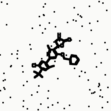 Cc1cc(C(C)(C)C)c(Cl)cc1-c1cc(OCc2ccccc2)c(C2CNC(=O)O2)c(C)n1